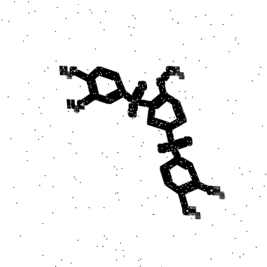 COc1ccc(S(=O)(=O)c2ccc(C)c(C)c2)cc1S(=O)(=O)c1ccc(C)c(C)c1